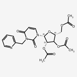 CC(=O)OC[C@H]1O[C@@H](n2ccc(=O)n(Cc3ccccn3)c2=O)[C@@H](OC(C)=O)C1OC(C)=O